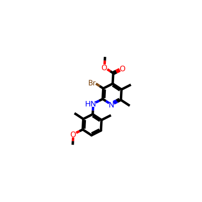 COC(=O)c1c(C)c(C)nc(Nc2c(C)ccc(OC)c2C)c1Br